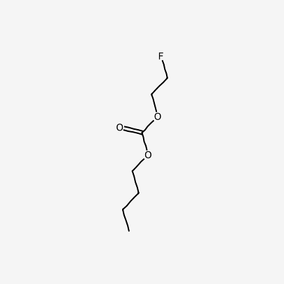 CCCCOC(=O)OCCF